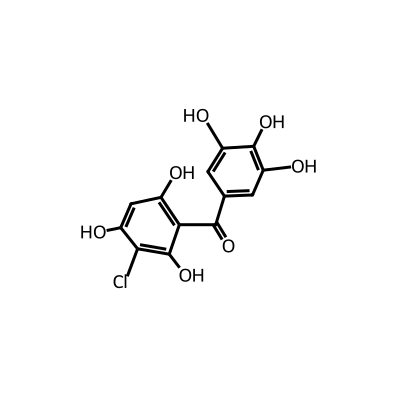 O=C(c1cc(O)c(O)c(O)c1)c1c(O)cc(O)c(Cl)c1O